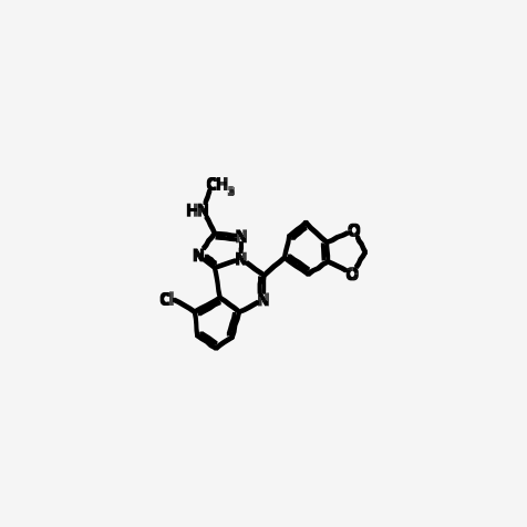 CNc1nc2c3c(Cl)cccc3nc(-c3ccc4c(c3)OCO4)n2n1